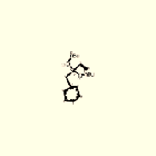 C=C[Si](Cc1ccccc1)(OCCCC)OCCCC